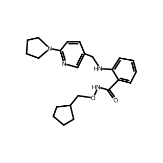 O=C(NOCC1CCCC1)c1ccccc1NCc1ccc(N2CCCC2)nc1